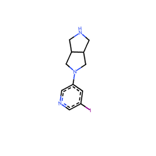 Ic1cncc(N2CC3CNCC3C2)c1